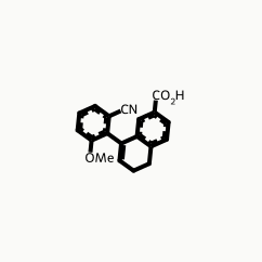 COc1cccc(C#N)c1C1=CCCc2ccc(C(=O)O)cc21